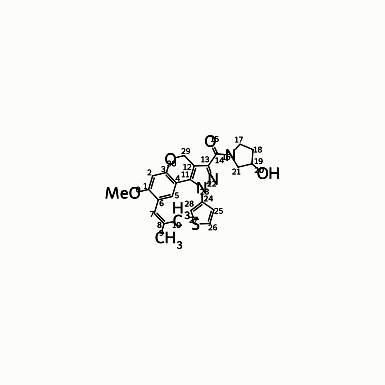 COc1cc2c(cc1C=C(C)C)-c1c(c(C(=O)N3CCC(O)C3)nn1-c1ccsc1)CO2